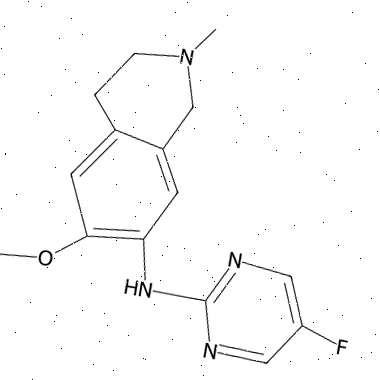 COc1cc2c(cc1Nc1ncc(F)cn1)CN(C)CC2